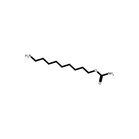 NCCCCCCCCCOC(N)=O